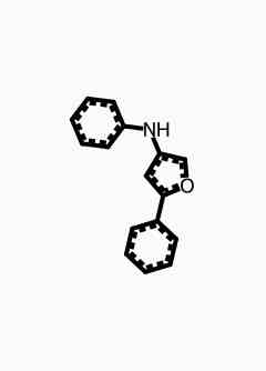 c1ccc(Nc2coc(-c3ccccc3)c2)cc1